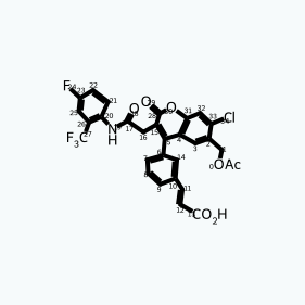 CC(=O)OCc1cc2c(-c3cccc(C=CC(=O)O)c3)c(CC(=O)Nc3ccc(F)cc3C(F)(F)F)c(=O)oc2cc1Cl